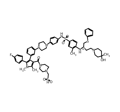 Cc1cc(S(=O)(=O)Nc2ccc(N3CCN(c4cccc(-c5c(C(=O)N6CCN(C[SH](=O)=O)CC6)c(C)n(C)c5-c5ccc(F)cc5)c4)CC3)cc2)ccc1N[C@H](CCN1CCC(C)(O)CC1)CSc1ccccc1